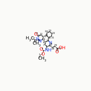 CCOC(=O)Nc1cc(-c2ccc(=O)n(C(C)C)n2)c(-c2ccccc2)nc1C=CC(=O)O